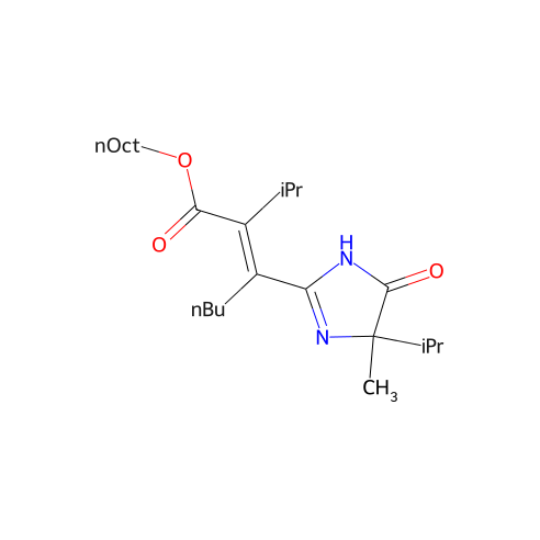 CCCCCCCCOC(=O)/C(=C(\CCCC)C1=NC(C)(C(C)C)C(=O)N1)C(C)C